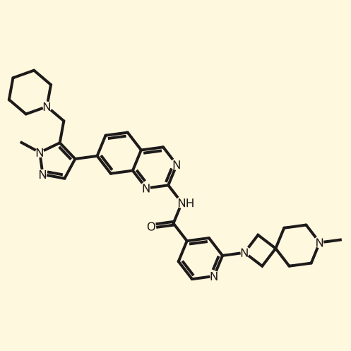 CN1CCC2(CC1)CN(c1cc(C(=O)Nc3ncc4ccc(-c5cnn(C)c5CN5CCCCC5)cc4n3)ccn1)C2